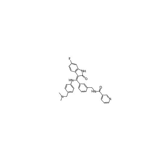 CN(C)Cc1ccc(NC(=C2C(=O)Nc3cc(F)ccc32)c2cccc(CNC(=O)c3cccnc3)c2)cc1